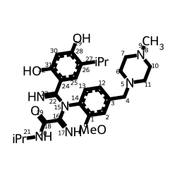 COc1cc(CN2CCN(C)CC2)ccc1N(C(=N)C(=O)NC(C)C)C(=N)c1cc(C(C)C)c(O)cc1O